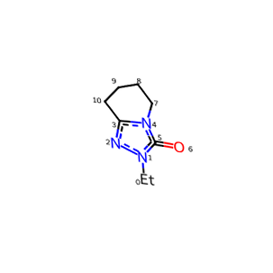 CCn1nc2n(c1=O)CCCC2